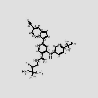 CC(C)(O)C(F)CNC(=O)c1cnc(-c2ccc3cc(C#N)cnn23)cc1Nc1ccc(C(F)(F)F)nc1